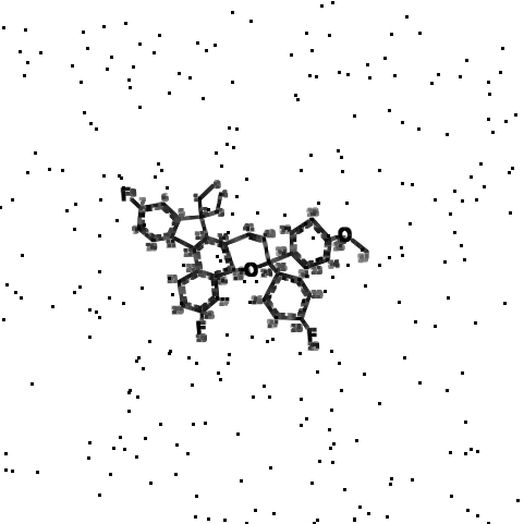 CCC1(CC)c2cc(F)ccc2-c2c1c1c(c3cc(F)ccc23)OC(c2ccc(F)cc2)(c2ccc(OC)cc2)C=C1